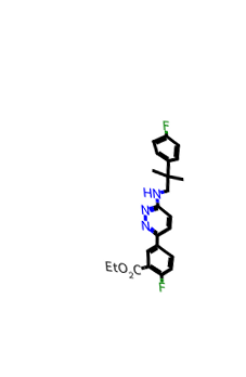 CCOC(=O)c1cc(-c2ccc(NCC(C)(C)c3ccc(F)cc3)nn2)ccc1F